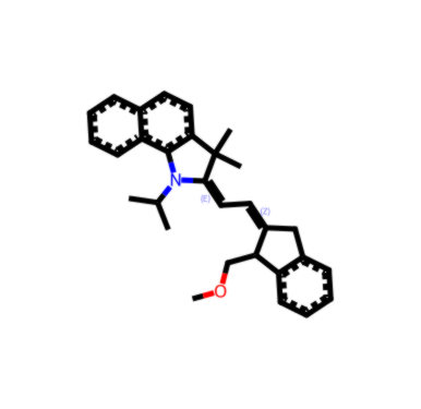 COCC1/C(=C\C=C2\N(C(C)C)c3c(ccc4ccccc34)C2(C)C)Cc2ccccc21